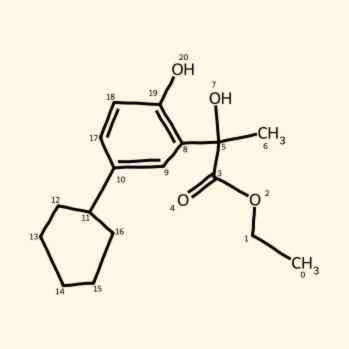 CCOC(=O)C(C)(O)c1cc(C2CCCCC2)ccc1O